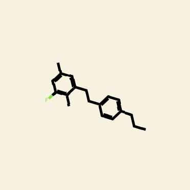 CCCc1ccc(CCc2cc(C)cc(F)c2C)cc1